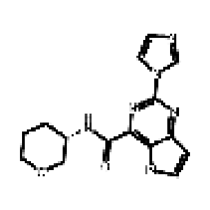 O=C(N[C@H]1CCCOC1)c1nc(-n2ccnc2)nc2cc[nH]c12